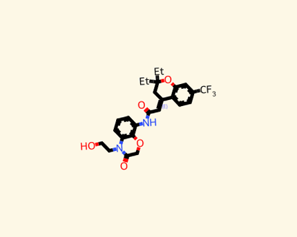 CCC1(CC)C/C(=C\C(=O)Nc2cccc3c2OCC(=O)N3CCO)c2ccc(C(F)(F)F)cc2O1